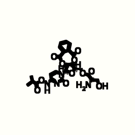 CC(C)C(=O)ONc1ccn([C@@H]2O[C@H](COC(=O)[C@H](N)CO)[C@H]3OC(=O)c4ccccc4C(=O)O[C@H]32)c(=O)n1